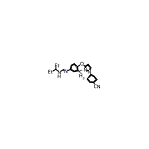 CCC(CC)N/C=N/c1ccc(Oc2ccn(-c3ccc(C#N)cc3)n2)c(C)c1